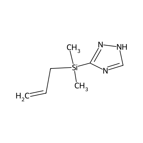 C=CC[Si](C)(C)c1nc[nH]n1